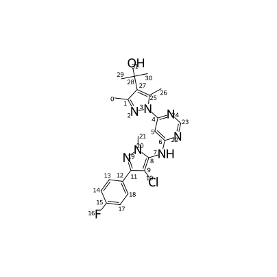 Cc1nn(-c2cc(Nc3c(Cl)c(-c4ccc(F)cc4)nn3C)ncn2)c(C)c1C(C)(C)O